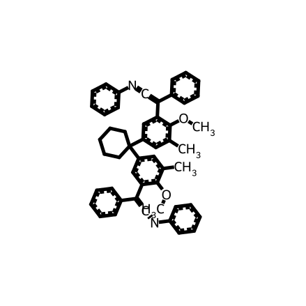 COc1c(C)cc(C2(c3cc(C)c(OC)c(C(=C=Nc4ccccc4)c4ccccc4)c3)CCCCC2)cc1C(=C=Nc1ccccc1)c1ccccc1